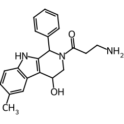 Cc1ccc2[nH]c3c(c2c1)C(O)CN(C(=O)CCN)C3c1ccccc1